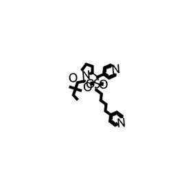 CCC(C)(C)C(=O)C(=O)N1CCC[C@H]1C(c1ccncc1)S(=O)(=O)CCCCCc1ccncc1